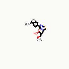 CO/C=C(/Cc1csc2nc(-c3ccc(C(C)C)cc3)cn12)C(=O)O